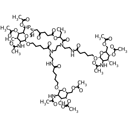 CCC(OC(=O)CCC(=O)C[SH](=P)=S)C(=O)N(CCNC(=O)CCCCO[C@@H]1OC(COC(C)=O)[C@H](OC(C)=O)[C@H](C)C1NC(C)=O)CCN(CCNC(=O)CCCCO[C@@H]1OC(COC(C)=O)[C@H](OC(C)=O)[C@H](C)C1NC(C)=O)C(=O)CCCCO[C@@H]1OC(COC(C)=O)[C@H](OC(C)=O)[C@H](C)C1NC(C)=O